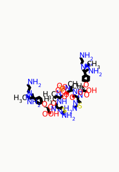 C[n+]1c(N)c(-c2ccc(OC[C@H](O/N=C(\C(=O)N[C@@H]3C(=O)N(OS(=O)(=O)ON4C(=O)[C@@H](NC(=O)/C(=N\O[C@@H](COc5ccc(-c6cn(CCCN)[n+](C)c6N)cc5)C(=O)O)c5csc(N)n5)C4(C)C)C3(C)C)c3csc(N)n3)C(=O)O)cc2)cn1CCCN